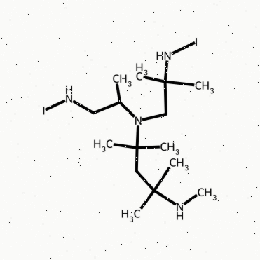 CNC(C)(C)CC(C)(C)N(CC(C)(C)NI)C(C)CNI